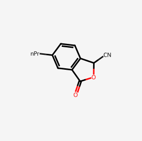 CCCc1ccc2c(c1)C(=O)OC2C#N